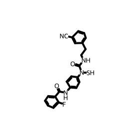 N#Cc1cccc(CCNC(=O)N(S)c2ccc(NC(=O)c3ccccc3F)cc2)c1